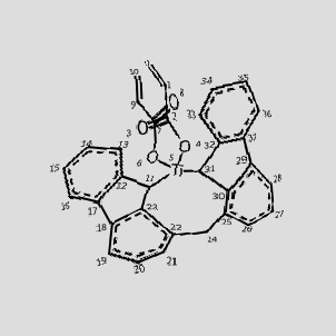 C=CC(=O)[O][Ti]1([O]C(=O)C=C)[CH]2c3ccccc3-c3cccc(c32)Cc2cccc3c2[CH]1c1ccccc1-3